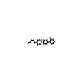 C=C/C=C\C=C1/CNC(c2ccc(-c3ccccc3C)cc2)NC1=O